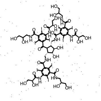 O=C(NCC(O)CO)c1c(I)c(NC(=O)C(O)CO)c(I)c(C(=O)NC[C@@H]2C(C(=O)c3c(I)c(NC(=O)C(O)CO)c(I)c(C(=O)NCC(O)CO)c3I)[C@H](CNC(=O)c3c(I)c(NC(=O)C(O)CO)c(I)c(C(=O)NCC(O)CO)c3I)[C@@H](O)[C@@H]2O)c1I